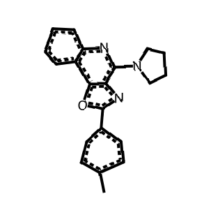 Cc1ccc(-c2nc3c(N4CCCC4)nc4ccccc4c3o2)cc1